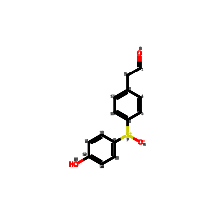 O=CCc1ccc([S+]([O-])c2ccc(O)cc2)cc1